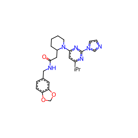 CC(C)c1cc(N2CCCCC2CC(=O)NCc2ccc3c(c2)OCO3)nc(-n2ccnc2)n1